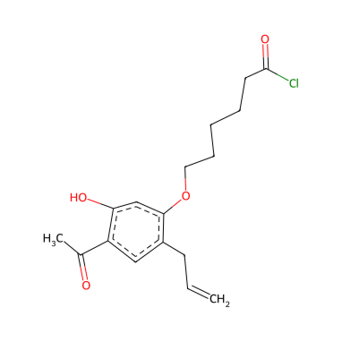 C=CCc1cc(C(C)=O)c(O)cc1OCCCCCC(=O)Cl